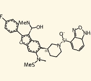 CNC(O)c1c(-c2ccc(F)cc2)oc2cc(N(C)SC)c([C@@H]3CCCN([S+]([O-])C4=CC=CC5NON=C45)C3)cc12